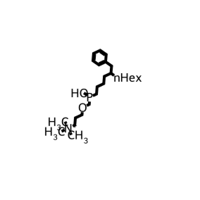 CCCCCCC(CCCCP(O)COCCC[N+](C)(C)C)Cc1ccccc1